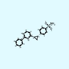 NS(=O)(=O)c1ccc([C@@H]2C[C@H]2c2ccnc(-c3ccccc3)n2)cc1